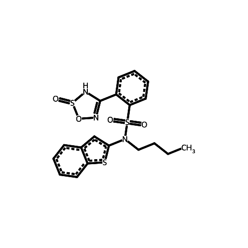 CCCCN(c1cc2ccccc2s1)S(=O)(=O)c1ccccc1C1=NOS(=O)N1